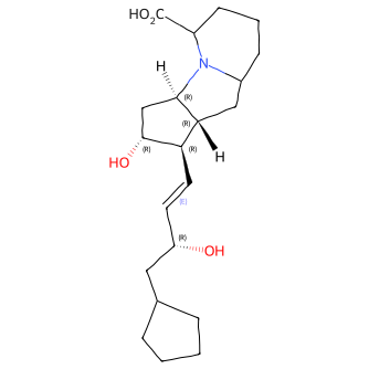 O=C(O)C1CCCC2C[C@@H]3[C@@H](/C=C/[C@H](O)CC4CCCC4)[C@H](O)C[C@H]3N21